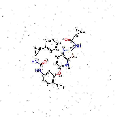 Cc1ccc(NC(=O)N[C@@H]2C[C@H]2c2ccccc2)cc1Oc1ccc2nc(NC(=O)C3CC3)sc2n1